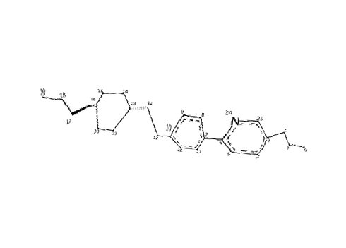 CCCc1ccc(-c2ccc(CC[C@H]3CC[C@H](CCC)CC3)cc2)nc1